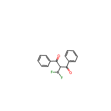 O=C(c1ccccc1)C(B(F)F)C(=O)c1ccccc1